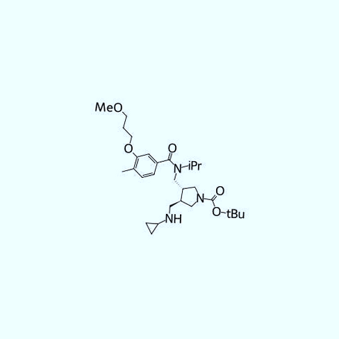 COCCCOc1cc(C(=O)N(C[C@@H]2CN(C(=O)OC(C)(C)C)C[C@H]2CNC2CC2)C(C)C)ccc1C